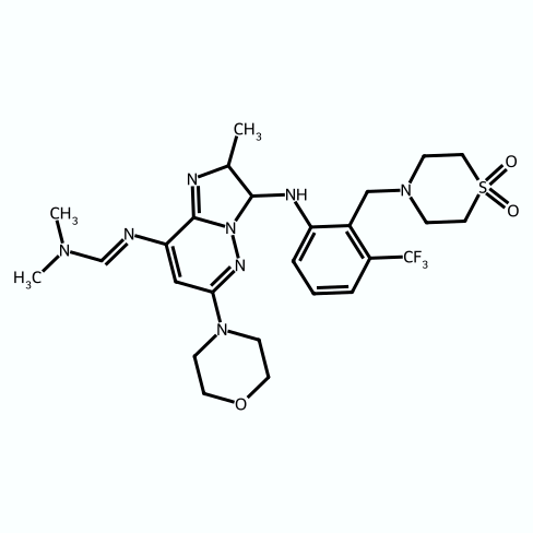 CC1N=C2C(/N=C/N(C)C)=CC(N3CCOCC3)=NN2C1Nc1cccc(C(F)(F)F)c1CN1CCS(=O)(=O)CC1